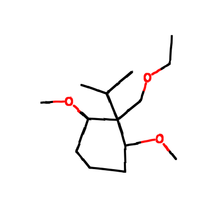 CCOCC1(C(C)C)C(OC)CCCC1OC